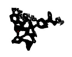 C=CC(=O)N1CCN(c2nc(=O)n(-c3c(C4CC4)cncc3C3CC3)c3c4c(c(C)nc23)-c2c(ccc(P)c2P)CO4)[C@@H](C)C1